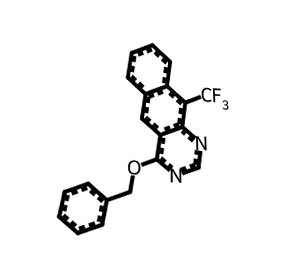 FC(F)(F)c1c2ccccc2cc2c(OCc3ccccc3)ncnc12